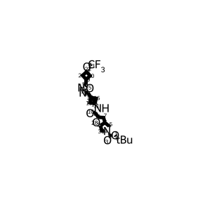 CC(C)(C)OC(=O)N1CC2CC(C(=O)NC34CC(c5nnc(C6CC(OC(F)(F)F)C6)o5)(C3)C4)OC2C1